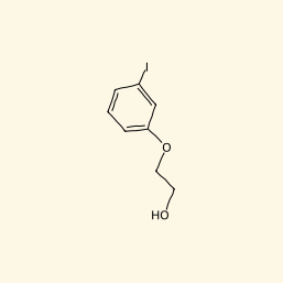 OCCOc1cccc(I)c1